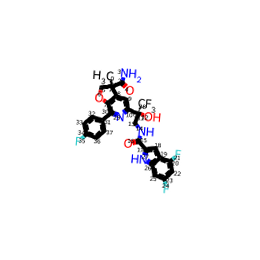 C[C@]1(C(N)=O)COc2c1cc([C@@](O)(CNC(=O)c1cc3c(F)cc(F)cc3[nH]1)C(F)(F)F)nc2-c1ccc(F)cc1